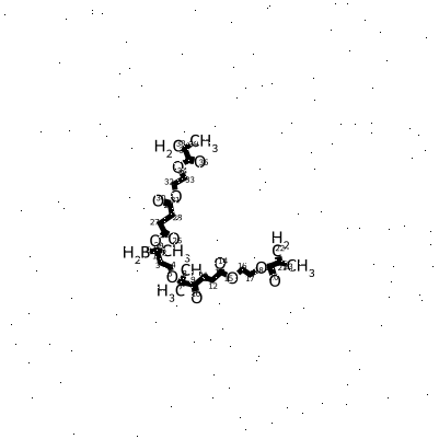 BC(C)(CCOC(C)(C)C(=O)CCC(=O)OCCOC(=O)C(=C)C)OC(=O)CCC(=O)OCCOC(=O)C(=C)C